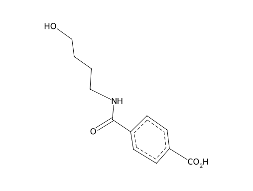 O=C(O)c1ccc(C(=O)NCCCCO)cc1